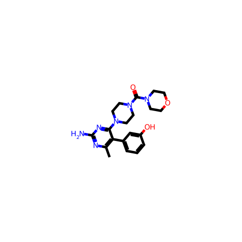 Cc1nc(N)nc(N2CCN(C(=O)N3CCOCC3)CC2)c1-c1cccc(O)c1